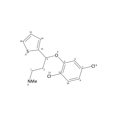 CNCCC(Oc1cc(Cl)ccc1Cl)c1cccs1